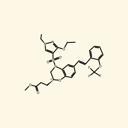 CCOc1nn(CC)cc1S(=O)(=O)N1C[C@H](CCC(=O)OC)Oc2ccc(/C=C/c3ccccc3OC(F)(F)F)cc21